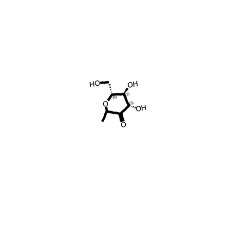 CC1O[C@H](CO)[C@@H](O)[C@H](O)C1=O